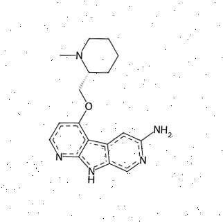 CN1CCCC[C@@H]1COc1ccnc2[nH]c3cnc(N)cc3c12